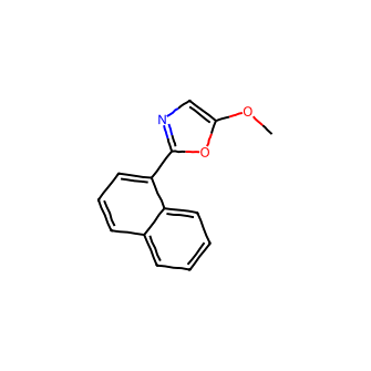 COc1cnc(-c2cccc3ccccc23)o1